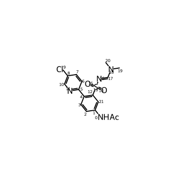 CC(=O)Nc1ccc(-c2ccc(Cl)cn2)c(S(=O)(=O)N=CN(C)C)c1